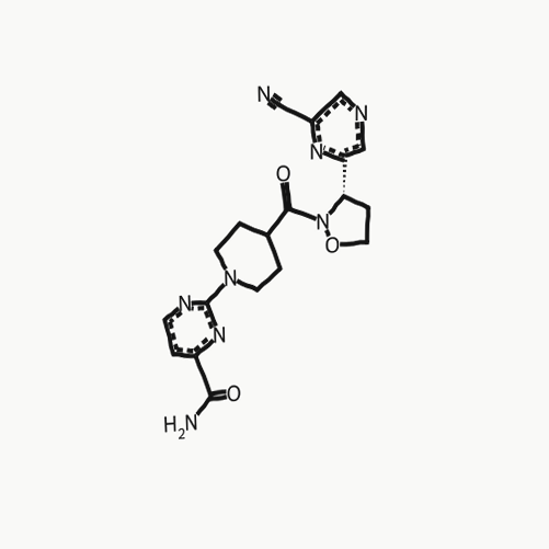 N#Cc1cncc([C@@H]2CCON2C(=O)C2CCN(c3nccc(C(N)=O)n3)CC2)n1